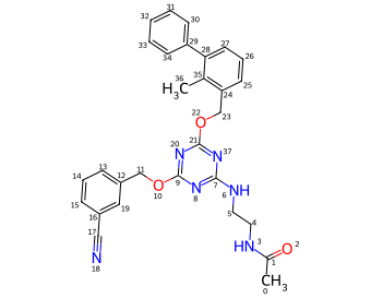 CC(=O)NCCNc1nc(OCc2cccc(C#N)c2)nc(OCc2cccc(-c3ccccc3)c2C)n1